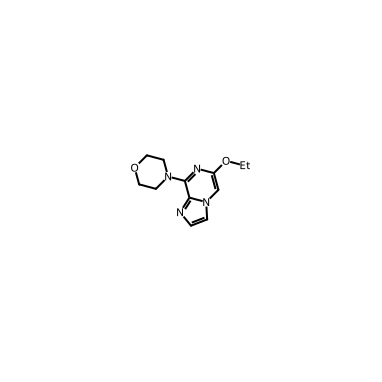 CCOc1cn2ccnc2c(N2CCOCC2)n1